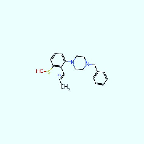 C/C=C/c1c(SO)cccc1N1CCN(Cc2ccccc2)CC1